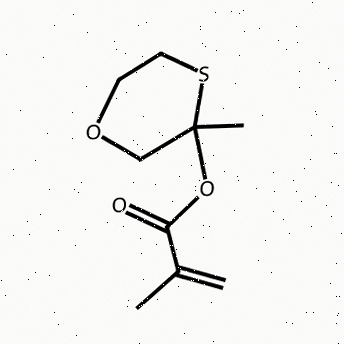 C=C(C)C(=O)OC1(C)COCCS1